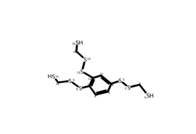 SCSSc1ccc(SSCS)c(SSCS)c1